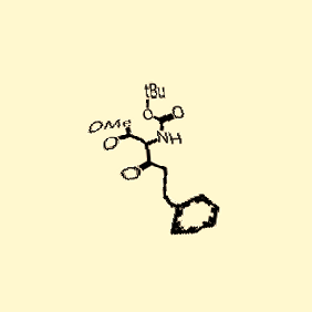 COC(=O)C(NC(=O)OC(C)(C)C)C(=O)CCc1ccccc1